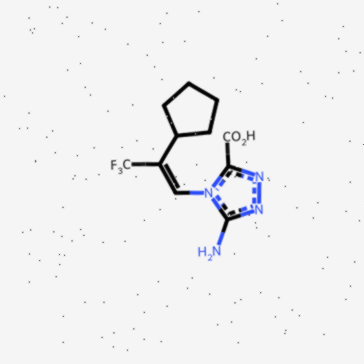 Nc1nnc(C(=O)O)n1/C=C(\C1CCCC1)C(F)(F)F